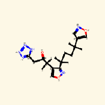 CC(C)(CCC(C)(C)c1nocc1C(C)(C)C(=O)Cc1nnn[nH]1)c1cnoc1